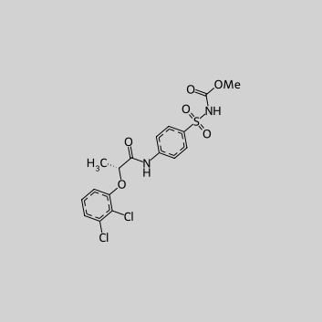 COC(=O)NS(=O)(=O)c1ccc(NC(=O)[C@@H](C)Oc2cccc(Cl)c2Cl)cc1